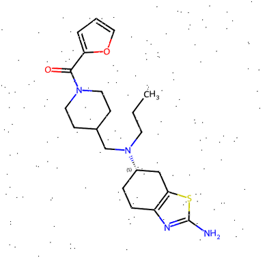 CCCN(CC1CCN(C(=O)c2ccco2)CC1)[C@H]1CCc2nc(N)sc2C1